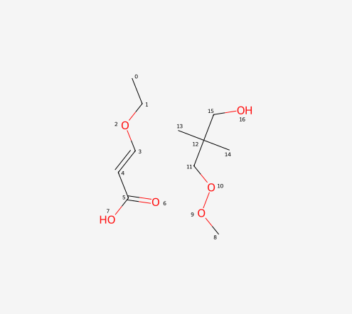 CCOC=CC(=O)O.COOCC(C)(C)CO